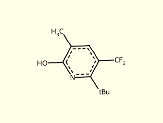 Cc1cc(C(F)(F)F)c(C(C)(C)C)nc1O